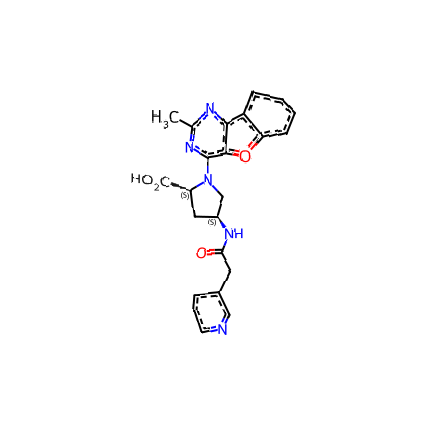 Cc1nc(N2C[C@@H](NC(=O)Cc3cccnc3)C[C@H]2C(=O)O)c2oc3ccccc3c2n1